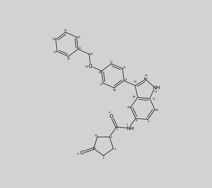 O=C1CCC(C(=O)Nc2ccc3[nH]nc(-c4ccc(OCc5ccccc5)cc4)c3c2)C1